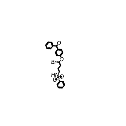 O=C(c1ccccc1)c1ccc(OC(Br)CCCNS(=O)(=O)c2ccccc2)cc1